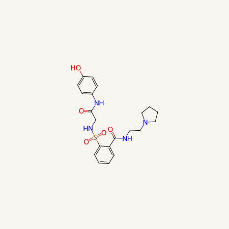 O=C(CNS(=O)(=O)c1ccccc1C(=O)NCCN1CCCC1)Nc1ccc(O)cc1